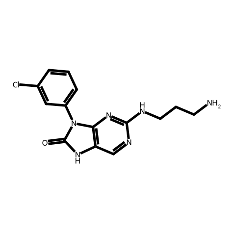 NCCCNc1ncc2[nH]c(=O)n(-c3cccc(Cl)c3)c2n1